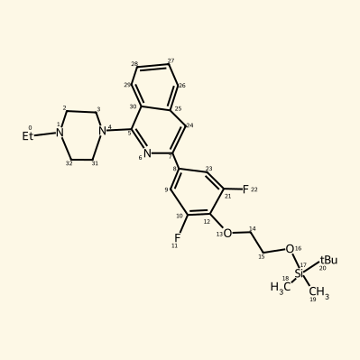 CCN1CCN(c2nc(-c3cc(F)c(OCCO[Si](C)(C)C(C)(C)C)c(F)c3)cc3ccccc23)CC1